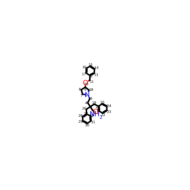 NC(=O)C(CCN1CCC(OCc2ccccc2)C1)(Cc1ccccc1)Cc1ccccc1